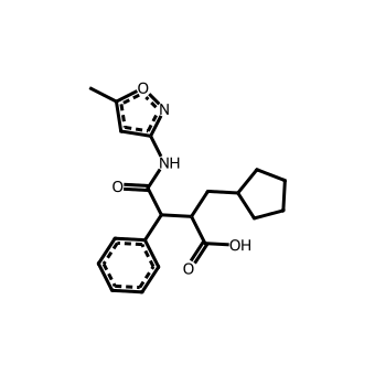 Cc1cc(NC(=O)C(c2ccccc2)C(CC2CCCC2)C(=O)O)no1